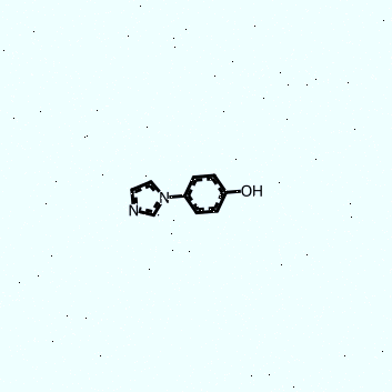 Oc1ccc(-n2[c]ncc2)cc1